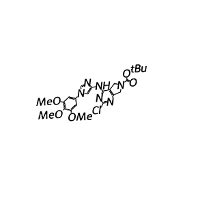 COc1cc(-n2cnc(Nc3nc(Cl)nc4c3CN(C(=O)OC(C)(C)C)C4)c2)cc(OC)c1OC